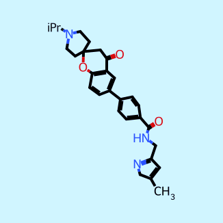 CC1=CC(CNC(=O)c2ccc(-c3ccc4c(c3)C(=O)CC3(CCN(C(C)C)CC3)O4)cc2)=NC1